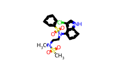 CN(CCN(c1cccc2[nH]cc(Cl)c12)S(=O)(=O)c1ccccc1)S(C)(=O)=O